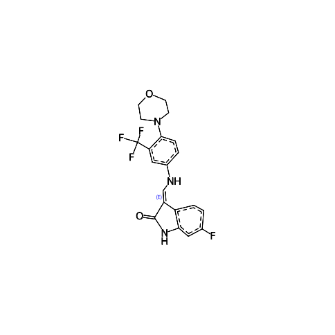 O=C1Nc2cc(F)ccc2/C1=C\Nc1ccc(N2CCOCC2)c(C(F)(F)F)c1